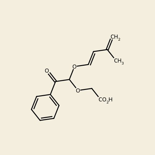 C=C(C)C=COC(OCC(=O)O)C(=O)c1ccccc1